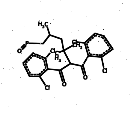 CC(CP=O)CC(C)(C)C(C(=O)c1c(Cl)cccc1Cl)C(=O)c1c(Cl)cccc1Cl